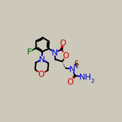 NC(=O)[N+](=S)C[C@@H]1CN(c2cccc(F)c2N2CCOCC2)C(=O)O1